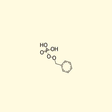 O=P(O)(O)OOCc1ccccc1